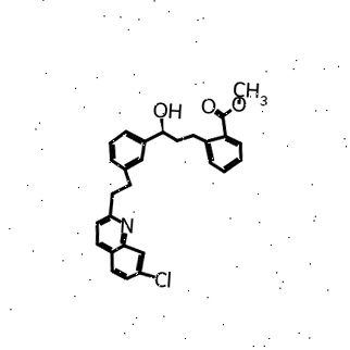 COC(=O)c1ccccc1CC[C@H](O)c1cccc(CCc2ccc3ccc(Cl)cc3n2)c1